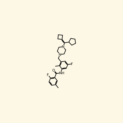 Cc1ccc(F)c(C(=O)Nc2cc(F)cc(CN3CCN(C(=C4CCC4)C4CCCC4)CC3)c2C)c1